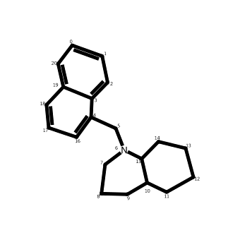 c1ccc2c(CN3CCCC4CCCCC43)cccc2c1